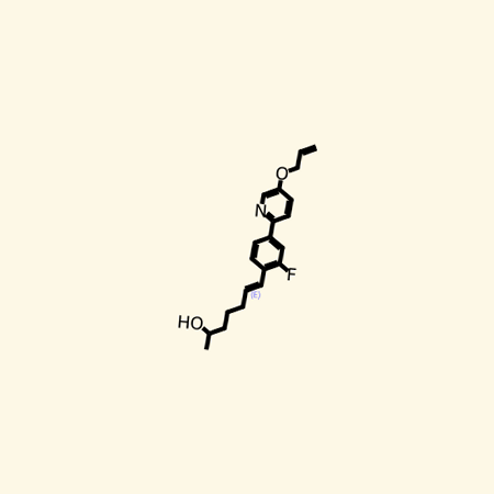 C=CCOc1ccc(-c2ccc(/C=C/CCCC(C)O)c(F)c2)nc1